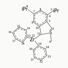 CC1=Cc2c(C(C)C)cc(C(C)C)cc2[CH]1[Zr]([c]1ccccc1)[c]1ccccc1